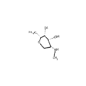 CN[C@@H]1CO[C@H](C)[C@H](O)[C@@H]1O